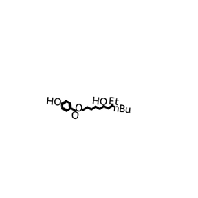 CCCCC(CC)CC(O)CCCCCOC(=O)c1ccc(O)cc1